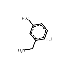 Cc1cccc(CN)c1.Cl